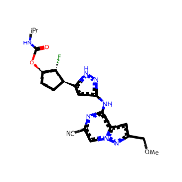 COCc1cc2c(Nc3cc([C@H]4CC[C@@H](OC(=O)NC(C)C)[C@@H]4F)[nH]n3)nc(C#N)cn2n1